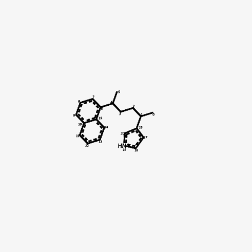 CC(CCC(C)c1cccc2ccccc12)c1cc[nH]c1